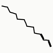 C=C/C=C/CCCCCCCCC